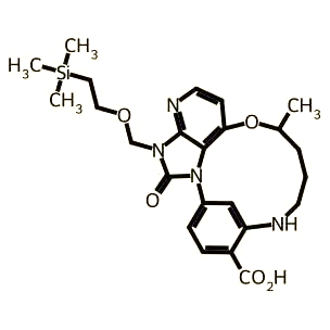 CC1CCCNc2cc(ccc2C(=O)O)-n2c(=O)n(COCC[Si](C)(C)C)c3nccc(c32)O1